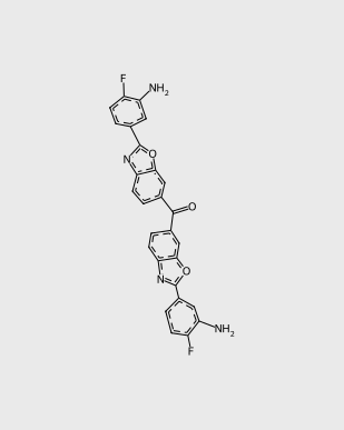 Nc1cc(-c2nc3ccc(C(=O)c4ccc5nc(-c6ccc(F)c(N)c6)oc5c4)cc3o2)ccc1F